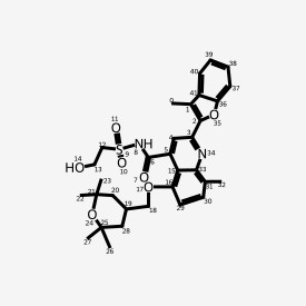 Cc1c(-c2cc(C(=O)NS(=O)(=O)CCO)c3c(OCC4CC(C)(C)OC(C)(C)C4)ccc(C)c3n2)oc2ccccc12